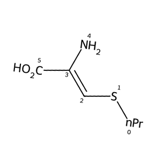 CCCS/C=C(\N)C(=O)O